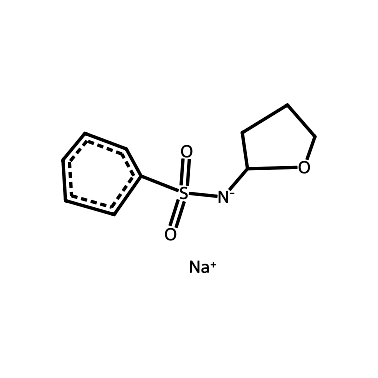 O=S(=O)([N-]C1CCCO1)c1ccccc1.[Na+]